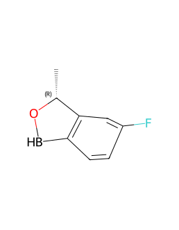 C[C@H]1OBc2ccc(F)cc21